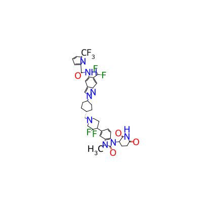 Cn1c(=O)n(C2CCC(=O)NC2=O)c2ccc(C3CCN(C[C@H]4CC[C@H](n5cc6cc(NC(=O)c7cccc(C(F)(F)F)n7)c(C(F)F)cc6n5)CC4)CC3(F)F)cc21